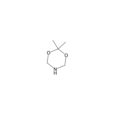 CC1(C)OCNCO1